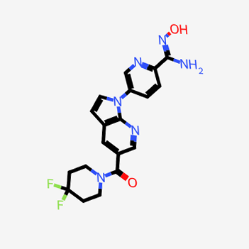 N/C(=N\O)c1ccc(-n2ccc3cc(C(=O)N4CCC(F)(F)CC4)cnc32)cn1